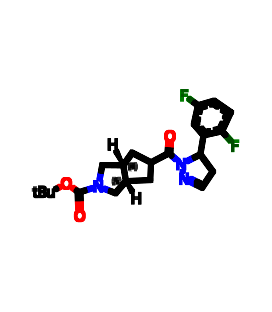 CC(C)(C)OC(=O)N1C[C@H]2CC(C(=O)N3N=CCC3c3cc(F)ccc3F)C[C@H]2C1